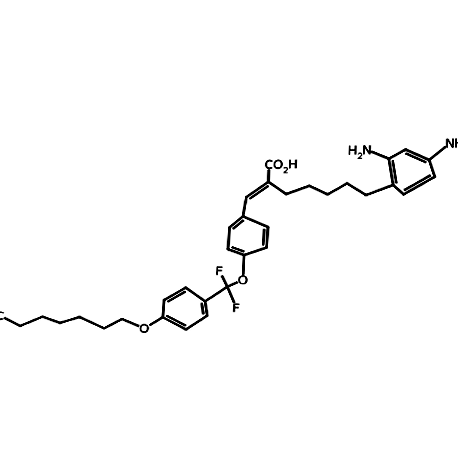 N#CCCCCCCOc1ccc(C(F)(F)Oc2ccc(C=C(CCCCCc3ccc(N)cc3N)C(=O)O)cc2)cc1